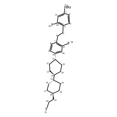 CCCCc1ccc(CCc2ccc([C@H]3CC[C@H]([C@H]4CC[C@H](CCF)CC4)CC3)cc2F)c(F)c1